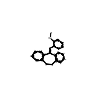 CNc1ccccc1C=C1c2ccccc2CCc2ccccc21